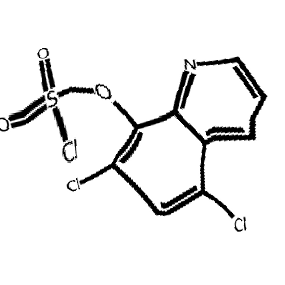 O=S(=O)(Cl)Oc1c(Cl)cc(Cl)c2cccnc12